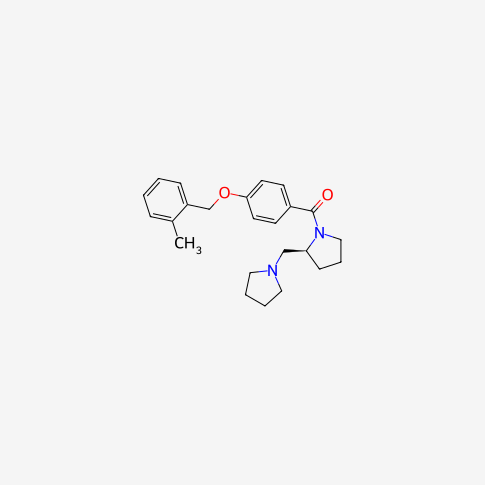 Cc1ccccc1COc1ccc(C(=O)N2CCC[C@H]2CN2CCCC2)cc1